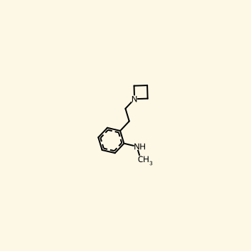 CNc1ccccc1CCN1CCC1